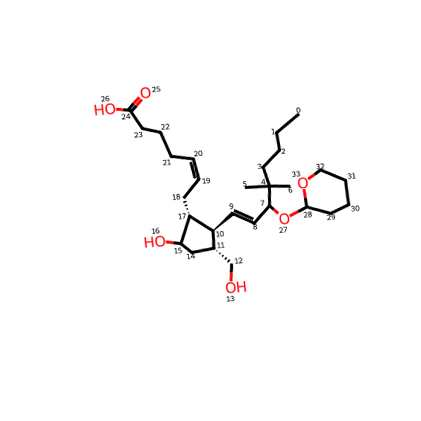 CCCCC(C)(C)C(/C=C/[C@H]1[C@H](CO)CC(O)[C@@H]1C/C=C\CCCC(=O)O)OC1CCCCO1